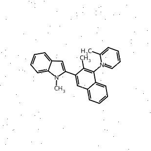 Cc1c(-c2cc3ccccc3n2C)cc2ccccc2c1-[n+]1ccccc1C